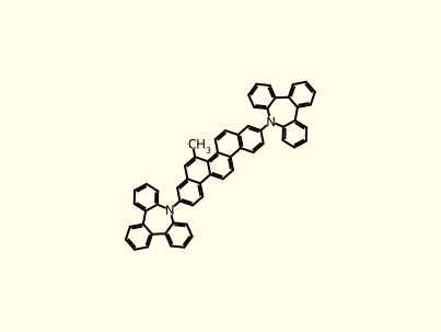 Cc1cc2cc(N3c4ccccc4-c4ccccc4-c4ccccc43)ccc2c2ccc3c4ccc(N5c6ccccc6-c6ccccc6-c6ccccc65)cc4ccc3c12